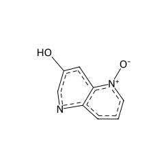 [O-][n+]1cccc2ncc(O)cc21